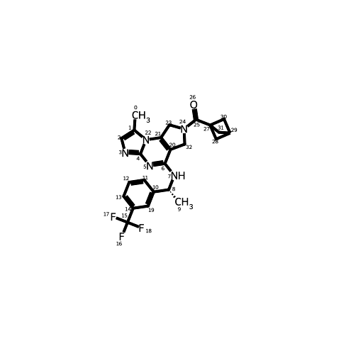 Cc1cnc2nc(N[C@H](C)c3cccc(C(F)(F)F)c3)c3c(n12)CN(C(=O)C12CC(C1)C2)C3